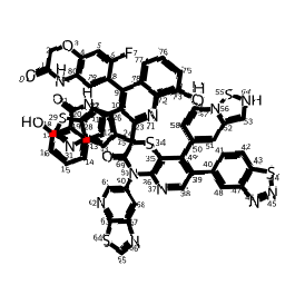 O=C1COc2cc(F)c(-c3c(-c4cc5cccc(O)c5c(=O)[nH]4)c(C4(c5ccc6scnc6c5)Sc5c(n[c]c(-c6ccc7snnc7c6)c5C5=CC6=CNSN6C=C5)N(c5cnc6scnc6c5)C4=O)nc4c(O)cccc34)cc2N1